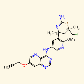 C#CCOc1cnc2c(Nc3cnc(OC)c([C@]4(C)C[C@](C)(CF)SC(N)=N4)c3)ncnc2c1